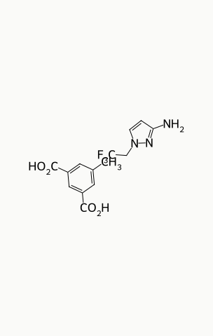 Cc1cc(C(=O)O)cc(C(=O)O)c1.Nc1ccn(CC(F)(F)F)n1